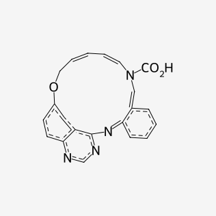 O=C(O)N1/C=C\C=C/COc2ccc3ncnc(c3c2)/N=c2/cccc/c2=C/1